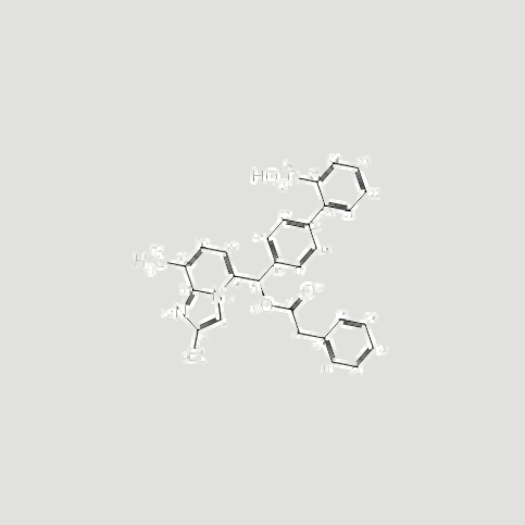 CCc1cn2c([C@H](OC(=O)Cc3ccccc3)c3ccc(-c4ccccc4C(=O)O)cc3)ccc(C)c2n1